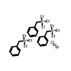 CC[N+](CC)(CC)Cc1ccccc1.CC[N+](CC)(CC)Cc1ccccc1.CC[N+](CC)(CC)Cc1ccccc1.[Br-].[Br-].[Cl-]